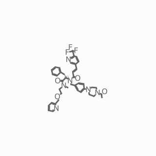 CC(=O)N1CCN(c2ccc(CN(C(=O)C=Cc3ccc(C(F)(F)F)nc3)[C@@H](Cc3ccccc3)C(=O)N(C)CCOCc3ccccn3)cc2)CC1